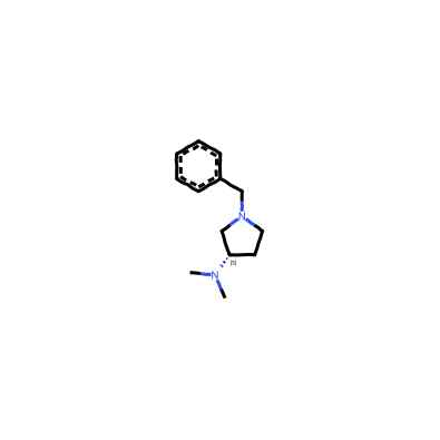 CN(C)[C@H]1CCN(Cc2ccccc2)C1